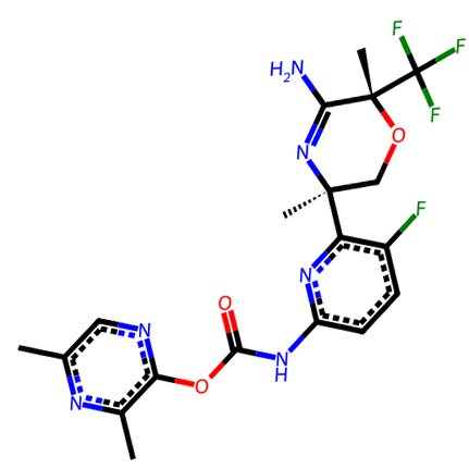 Cc1cnc(OC(=O)Nc2ccc(F)c([C@]3(C)CO[C@@](C)(C(F)(F)F)C(N)=N3)n2)c(C)n1